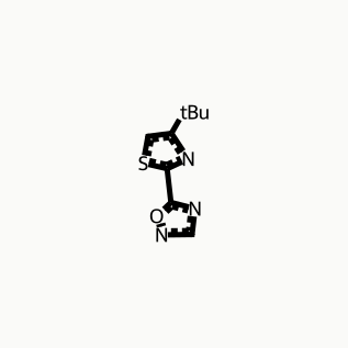 CC(C)(C)c1csc(-c2ncno2)n1